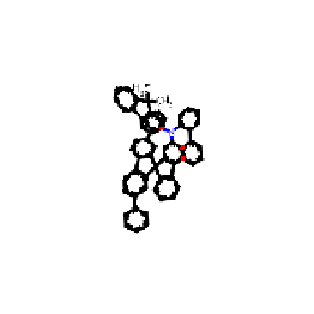 CC1(C)c2ccccc2-c2ccc(N(c3ccc4c(c3)C3(c5ccccc5-4)c4cc(-c5ccccc5)ccc4-c4ccc(-c5ccccc5)cc43)c3ccccc3-c3ccccc3)cc21